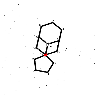 [CH]1CCC(N2C3CCCC2CCC3)C1